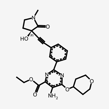 CCOC(=O)c1nc(-c2cccc(C#C[C@]3(O)CCN(C)C3=O)c2)nc(OC2CCOCC2)c1N